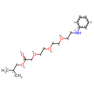 CC(C)COC(=O)COCCOCCOCCNc1ccccc1